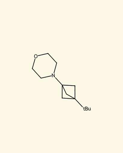 CC(C)(C)C12CC(N3CCOCC3)(C1)C2